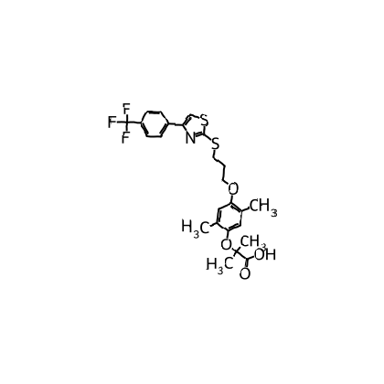 Cc1cc(OC(C)(C)C(=O)O)c(C)cc1OCCCSc1nc(-c2ccc(C(F)(F)F)cc2)cs1